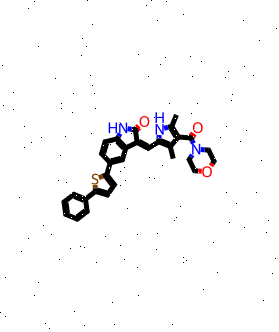 Cc1[nH]c(/C=C2\C(=O)Nc3ccc(-c4ccc(-c5ccccc5)s4)cc32)c(C)c1C(=O)N1CCOCC1